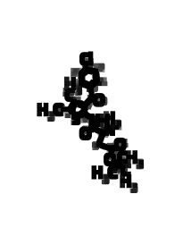 Cc1sc(NC(=O)[C@@H](N)CC(=O)OC(C)(C)C)c(C(=O)c2ccc(Cl)cc2)c1C